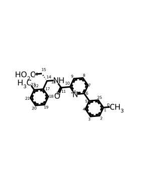 Cc1cccc(-c2cccc(C(=O)N[C@@H](CC(=O)O)c3ccccc3C)n2)c1